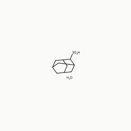 O.O=S(=O)(O)C1C2C[C]3CC(C2)CC1C3